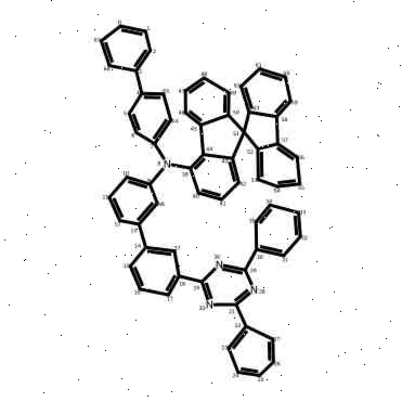 c1ccc(-c2ccc(N(c3cccc(-c4cccc(-c5nc(-c6ccccc6)nc(-c6ccccc6)n5)c4)c3)c3cccc4c3-c3ccccc3C43c4ccccc4-c4ccccc43)cc2)cc1